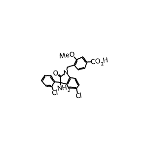 COc1cc(C(=O)O)ccc1CN1C(=O)C(N)(c2ccccc2Cl)c2cc(Cl)ccc21